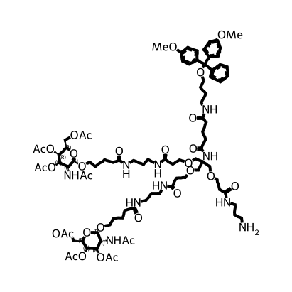 COc1ccc(C(OCCCCNC(=O)CCCC(=O)NC(COCCC(=O)NCCCN)(COCCC(=O)NCCCNC(=O)CCCCO[C@@H]2O[C@H](COC(C)=O)[C@H](OC(C)=O)[C@H](OC(C)=O)[C@H]2NC(C)=O)COCCC(=O)NCCCNC(=O)CCCCO[C@@H]2O[C@H](COC(C)=O)[C@H](OC(C)=O)[C@H](OC(C)=O)[C@H]2NC(C)=O)(c2ccccc2)c2ccc(OC)cc2)cc1